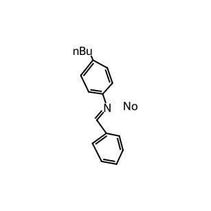 CCCCc1ccc(N=Cc2ccccc2)cc1.[No]